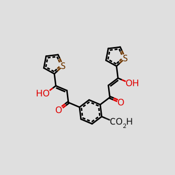 O=C(C=C(O)c1cccs1)c1ccc(C(=O)O)c(C(=O)C=C(O)c2cccs2)c1